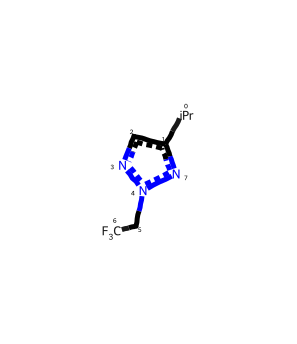 CC(C)c1cnn(CC(F)(F)F)n1